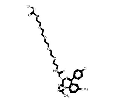 COc1ccc2c(c1)C(c1ccc(Cl)cc1)=N[C@@H](CC(=O)NCCOCCOCCOCCOCCNC(=O)OC(C)(C)C)c1nnc(C)n1-2